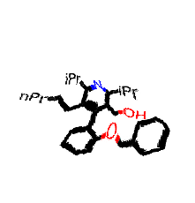 CCCC=Cc1c(C(C)C)nc(C(C)C)c(CO)c1-c1ccccc1OCc1ccccc1